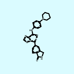 O=C1NCc2cc(-c3cnc(Nc4ccc(N5CCCCC5)cc4)c4ncnn34)ccc21